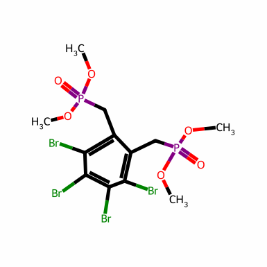 COP(=O)(Cc1c(Br)c(Br)c(Br)c(Br)c1CP(=O)(OC)OC)OC